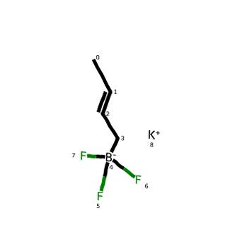 C/C=C/C[B-](F)(F)F.[K+]